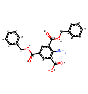 Nc1c(C(=O)O)cc(C(=O)OCc2ccccc2)cc1C(=O)OCc1ccccc1